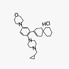 C1=C(c2cc(N3CCOCC3)ccc2N2CCN(CC3CC3)CC2)CCC2(C1)CCCCC2.Cl